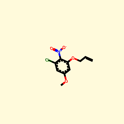 C=CCOc1cc(OC)cc(Cl)c1[N+](=O)[O-]